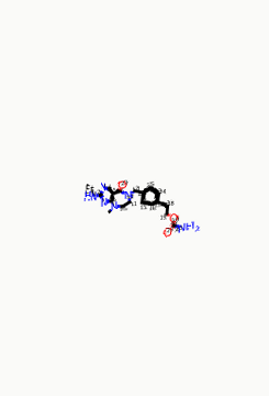 CCNc1ncc2c(n1)N(C)CCN(Cc1ccc(CCOC(N)=O)cc1)C2=O